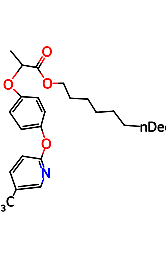 CCCCCCCCCCCCCCCCOC(=O)C(C)Oc1ccc(Oc2ccc(C(F)(F)F)cn2)cc1